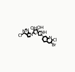 O[C@H]1[C@H](n2ccc3c(Cl)ncnc32)C[C@@]2(CN[C@H](c3ccc4cc(Br)c(Cl)nc4c3)C2)[C@H]1O